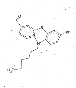 CCCCCCN1c2ccc(Br)cc2Sc2cc(C=O)ccc21